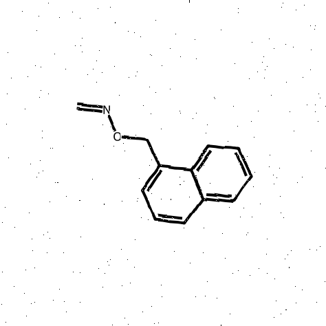 C=NOCc1cccc2ccccc12